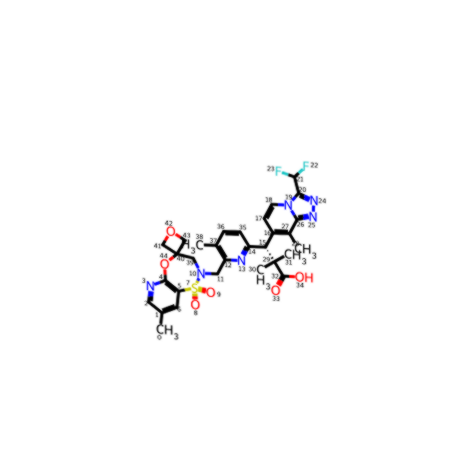 Cc1cnc2c(c1)S(=O)(=O)N(Cc1nc([C@H](c3ccn4c(C(F)F)nnc4c3C)C(C)(C)C(=O)O)ccc1C)CC1(COC1)O2